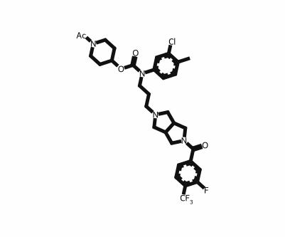 CC(=O)N1CCC(OC(=O)N(CCCN2CC3CN(C(=O)c4ccc(C(F)(F)F)c(F)c4)CC3C2)c2ccc(C)c(Cl)c2)CC1